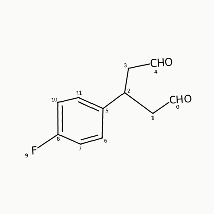 O=CCC(CC=O)c1ccc(F)cc1